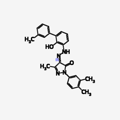 CC1=NN(c2ccc(C)c(C)c2)C(=O)/C1=N\Nc1cccc(-c2cccc(C)c2)c1O